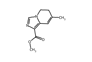 COC(=O)c1ncn2c1C=C(C)CC2